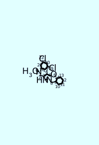 CN(Cc1cc(=O)n(Cc2ccccc2)[nH]1)c1cc(Cl)cc(Cl)c1